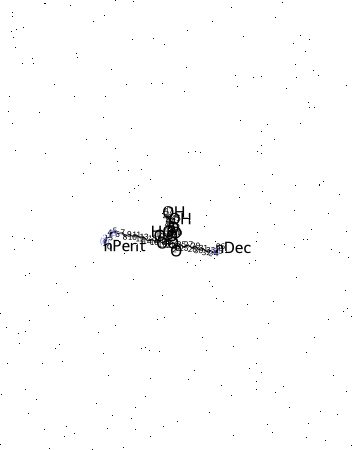 CCCCC/C=C\C/C=C\CCCCCCCCCCCC(=O)O[C@H](COC(=O)CCCCCCCCC/C=C\CCCCCCCCCC)COP(=O)(O)OC[C@@H](O)CO